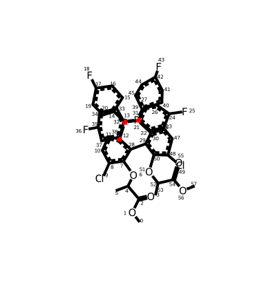 COC(=O)C(C)Oc1c(Cl)ccc(P(c2ccc(F)cc2)c2ccc(F)cc2)c1-c1c(P(c2ccc(F)cc2)c2ccc(F)cc2)ccc(Cl)c1OC(C)C(=O)OC